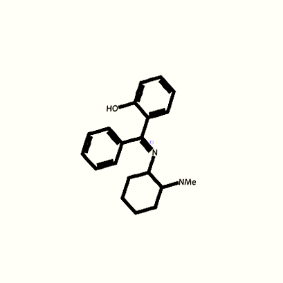 CNC1CCCCC1/N=C(\c1ccccc1)c1ccccc1O